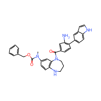 CN(C(=O)OCc1ccccc1)c1ccc2c(c1)N(C(=O)c1ccc(-c3ccc4[nH]ccc4c3)c(N)c1)CCCN2